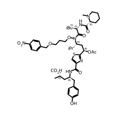 CC[C@H](C)[C@H](NC(=O)[C@H]1CCCCN1C)C(=O)N(OCCCOCc1ccc([N+](=O)[O-])cc1)[C@H](C[C@@H](OC(C)=O)c1nc(C(=O)N[C@@H](Cc2ccc(O)cc2)C[C@H](C)C(=O)O)cs1)C(C)C